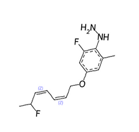 Cc1cc(OC/C=C\C=C/C(C)F)cc(F)c1NN